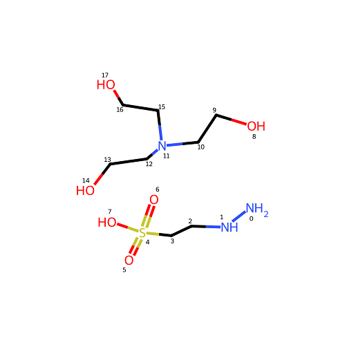 NNCCS(=O)(=O)O.OCCN(CCO)CCO